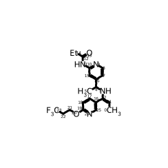 CC=C(NC(C)c1ccnc(NC(=O)CC)c1)c1ccc(OCCC(F)(F)F)nc1